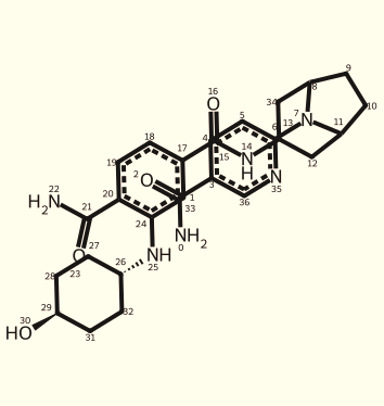 NC(=O)c1ccc(N2C3CCC2CC(NC(=O)c2ccc(C(N)=O)c(N[C@H]4CC[C@H](O)CC4)c2)C3)nc1